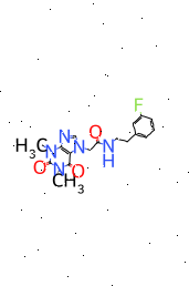 Cn1c(=O)c2c(ncn2CC(=O)NCCc2cccc(F)c2)n(C)c1=O